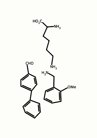 COc1ccccc1CN.NCCCCC(N)C(=O)O.O=Cc1ccc(-c2ccccc2)cc1